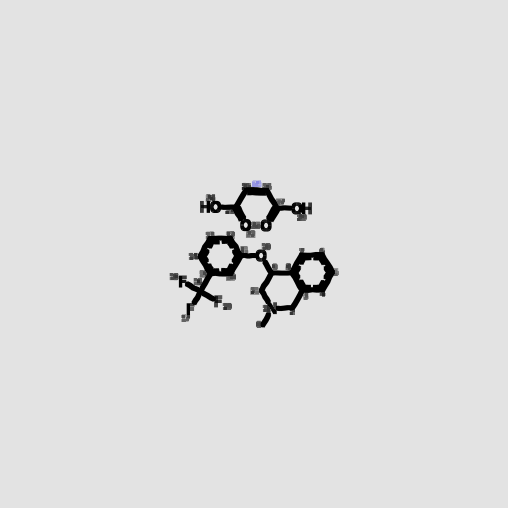 CN1Cc2ccccc2C(Oc2cccc(C(F)(F)F)c2)C1.O=C(O)/C=C\C(=O)O